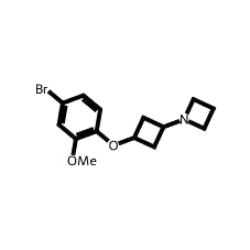 COc1cc(Br)ccc1OC1CC(N2CCC2)C1